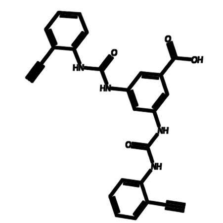 C#Cc1ccccc1NC(=O)Nc1cc(NC(=O)Nc2ccccc2C#C)cc(C(=O)O)c1